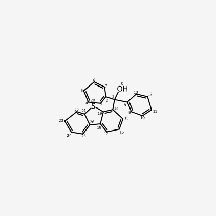 OC(c1ccccc1)(c1ccccc1)c1cccc2c1sc1ccccc12